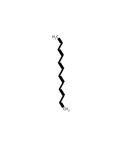 C=CC=CC=CC=CC=CC=C